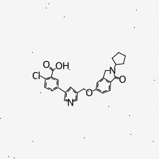 O=C(O)c1cc(-c2cncc(COc3ccc4c(c3)CN(C3CCCC3)C4=O)c2)ccc1Cl